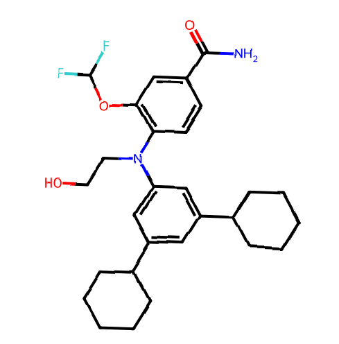 NC(=O)c1ccc(N(CCO)c2cc(C3CCCCC3)cc(C3CCCCC3)c2)c(OC(F)F)c1